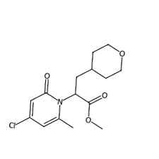 COC(=O)C(CC1CCOCC1)n1c(C)cc(Cl)cc1=O